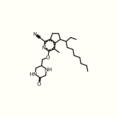 CCCCCCCC(CC)C1CCc2c(C#N)nc(OCC3CNC(=O)CN3)c(C)c21